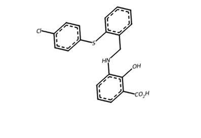 O=C(O)c1cccc(NCc2ccccc2Sc2ccc(Cl)cc2)c1O